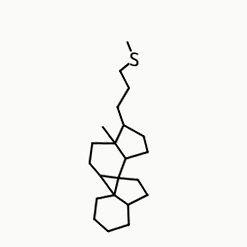 CSCCCC1CCC2C1(C)CCC1C34CCCCC3CCC214